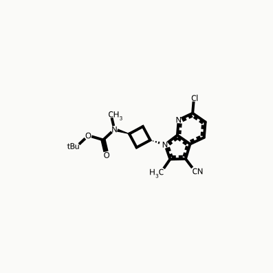 Cc1c(C#N)c2ccc(Cl)nc2n1[C@H]1C[C@H](N(C)C(=O)OC(C)(C)C)C1